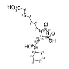 O.O=C(O)CSCCCC[C@@H]1[C@@H](C#C[C@@H](O)C2CCCCC2)[C@H](O)C[C@H]1Cl